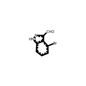 O=Cc1n[nH]c2cccc(Br)c12